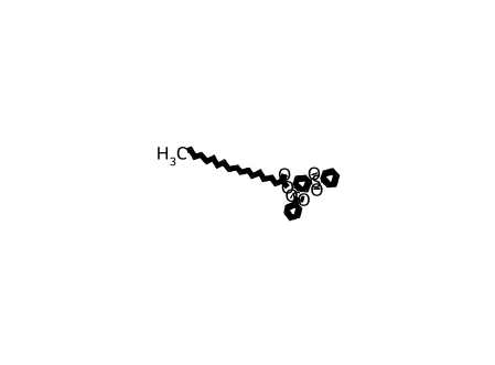 CCCCCCCCCCCCCCCCCC(=O)Oc1ccc(S(=O)(=O)c2ccccc2)cc1S(=O)(=O)c1ccccc1